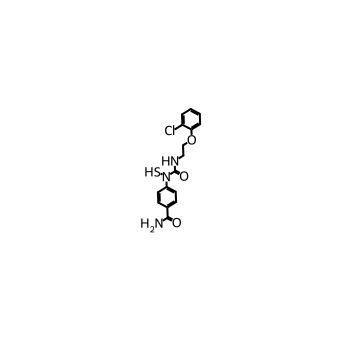 NC(=O)c1ccc(N(S)C(=O)NCCOc2ccccc2Cl)cc1